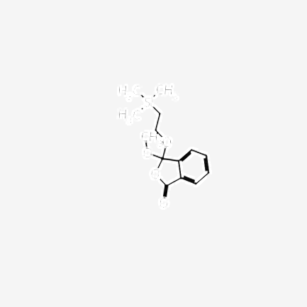 COC1(OCC[Si](C)(C)C)OC(=O)c2ccccc21